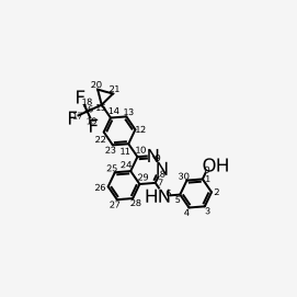 Oc1cccc(Nc2nnc(-c3ccc(C4(C(F)(F)F)CC4)cc3)c3ccccc23)c1